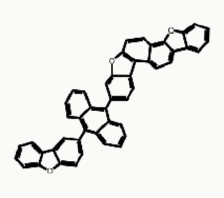 c1ccc2c(c1)oc1ccc(-c3c4ccccc4c(-c4ccc5c(c4)oc4ccc6c(ccc7c8ccccc8oc76)c45)c4ccccc34)cc12